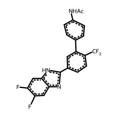 CC(=O)Nc1ccc(-c2cc(-c3nc4cc(F)c(F)cc4[nH]3)ccc2C(F)(F)F)cc1